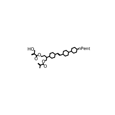 C=C(C)C(=O)OCC(CCOC(=O)C(=C)CO)C1CCC(/C=C/C2CCC(C3CCC(CCCCC)CC3)CC2)CC1